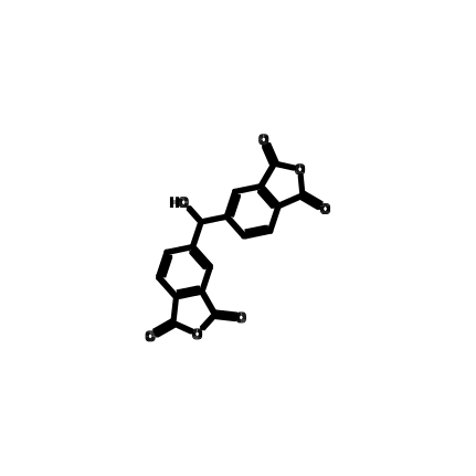 O=C1OC(=O)c2cc(C(O)c3ccc4c(c3)C(=O)OC4=O)ccc21